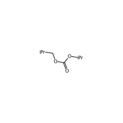 CC(C)[CH]OC(=O)OC(C)C